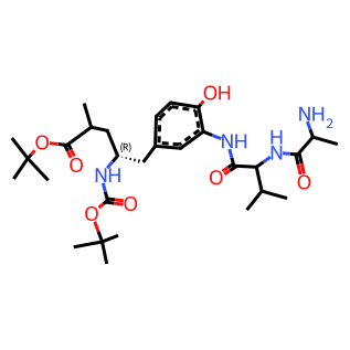 CC(N)C(=O)NC(C(=O)Nc1cc(C[C@@H](CC(C)C(=O)OC(C)(C)C)NC(=O)OC(C)(C)C)ccc1O)C(C)C